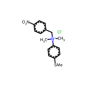 CSc1ccc([N+](C)(C)Cc2ccc([N+](=O)[O-])cc2)cc1.[Cl-]